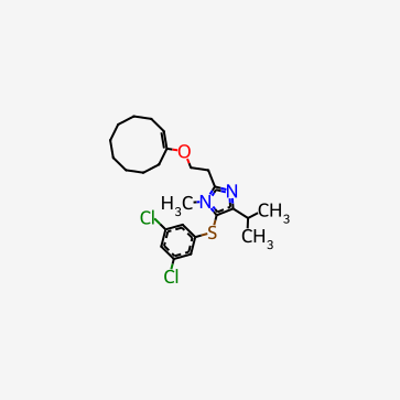 CC(C)c1nc(CCOC2=CCCCCCCCC2)n(C)c1Sc1cc(Cl)cc(Cl)c1